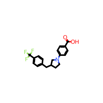 O=C(O)c1ccc(N2CCC(Cc3ccc(C(F)(F)F)cc3)C2)cc1